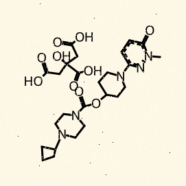 Cn1nc(N2CCC(OC(=O)N3CCN(C4CCC4)CC3)CC2)ccc1=O.O=C(O)CC(O)(CC(=O)O)C(=O)O